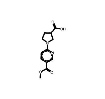 COC(=O)c1ccc(N2CCC(C(=O)O)C2)nc1